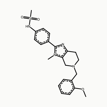 COc1ccccc1CN1CCc2nc(-c3ccc(NS(C)(=O)=O)cc3)n(C)c2C1